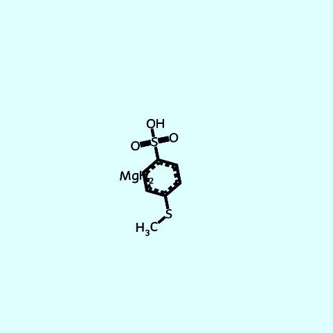 CSc1ccc(S(=O)(=O)O)cc1.[MgH2]